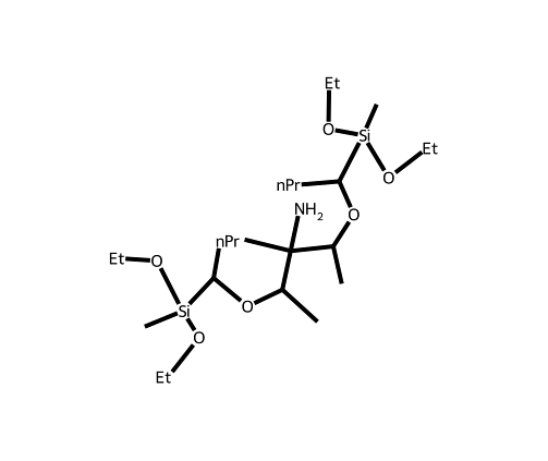 CCCC(OC(C)C(C)(N)C(C)OC(CCC)[Si](C)(OCC)OCC)[Si](C)(OCC)OCC